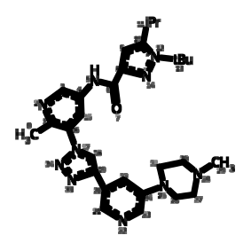 Cc1ncc(NC(=O)c2cc(C(C)C)n(C(C)(C)C)n2)cc1-n1cc(-c2cncc(N3CCN(C)CC3)c2)nn1